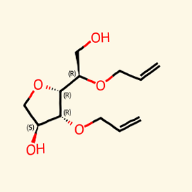 C=CCO[C@H]1[C@@H]([C@@H](CO)OCC=C)OC[C@@H]1O